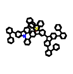 c1ccc(-c2ccccc2-c2ccc3c(c2)-c2cc(-c4ccccc4-c4ccccc4)ccc2C3c2ccc3c(c2)-c2cc(-c4ccccc4-n4c5ccc(-c6ccccc6-c6ccccc6)cc5c5cc(-c6ccccc6-c6ccccc6)ccc54)ccc2S3(c2ccccc2)c2ccccc2)cc1